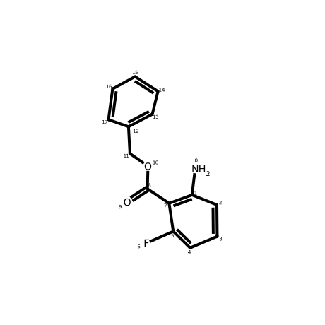 Nc1cccc(F)c1C(=O)OCc1ccccc1